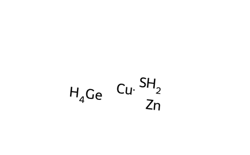 S.[Cu].[GeH4].[Zn]